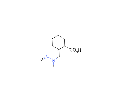 C=NN(C)/C=C1\CCCCC1C(=O)O